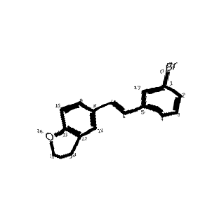 Brc1cccc(C=Cc2ccc3c(c2)CCO3)c1